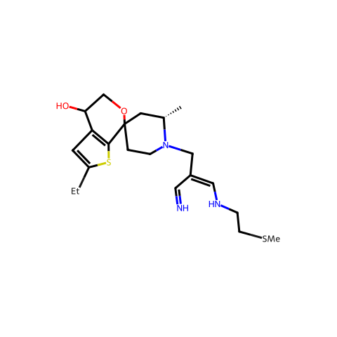 CCc1cc2c(s1)C1(CCN(C/C(C=N)=C/NCCSC)[C@@H](C)C1)OCC2O